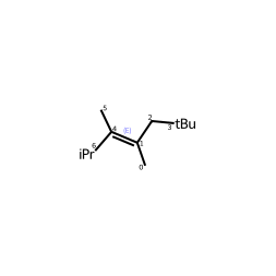 C/C(CC(C)(C)C)=C(/C)C(C)C